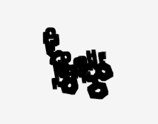 O=C(N[C@H]1N=C(c2ccccc2)c2cccc(F)c2NC1=O)c1c(-c2ccccc2F)nn2c1OCC(CN1CCOCC1)C2